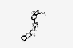 Cc1n[nH]c2ccc(-c3nnc(NCC(N)Cc4ccccc4F)s3)cc12